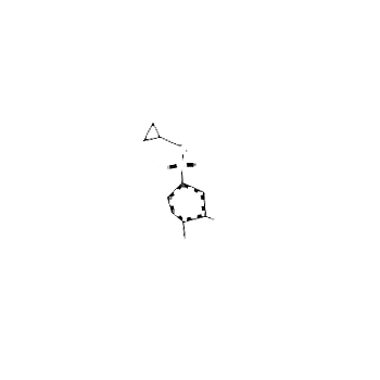 Cc1ccc(S(=O)(=O)NC2CC2)cc1C